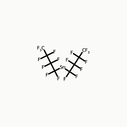 FC(F)(F)C(F)(F)C(F)(F)[C](F)(F)[Sn][C](F)(F)C(F)(F)C(F)(F)C(F)(F)F